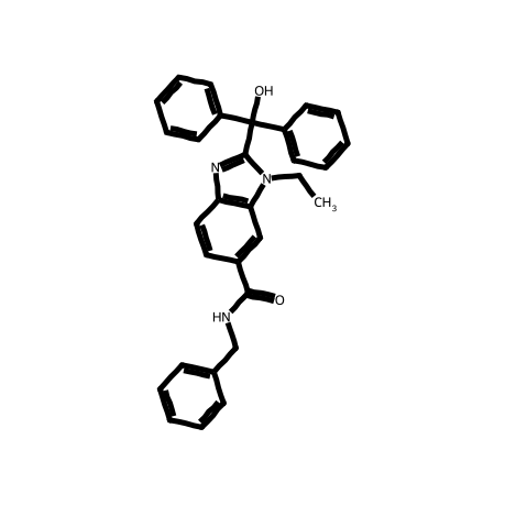 CCn1c(C(O)(c2ccccc2)c2ccccc2)nc2ccc(C(=O)NCc3ccccc3)cc21